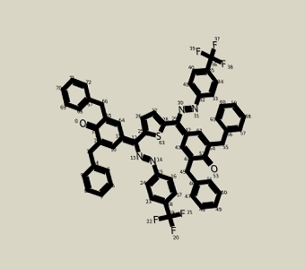 O=C1C(Cc2ccccc2)=CC(=C(/N=N/c2ccc(C(F)(F)F)cc2)c2ccc(C(/N=N/c3ccc(C(F)(F)F)cc3)=C3C=C(Cc4ccccc4)C(=O)C(Cc4ccccc4)=C3)s2)C=C1Cc1ccccc1